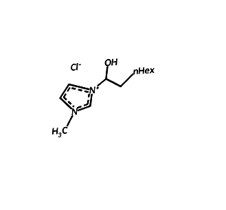 CCCCCCCC(O)[n+]1ccn(C)c1.[Cl-]